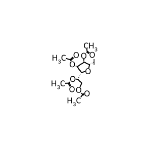 CC(=O)OCC(OC(C)=O)[C@H]1O[C@@H](I)[C@H](OC(C)=O)[C@H]1OC(C)=O